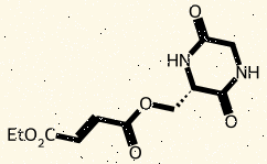 CCOC(=O)/C=C/C(=O)OC[C@@H]1NC(=O)CNC1=O